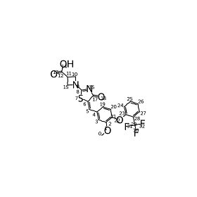 COc1cc(/C=C2/SC(N3CC(C(=O)O)C3)=NC2=O)ccc1Oc1ccccc1C(F)(F)F